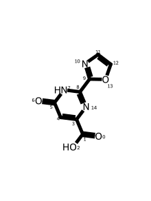 O=C(O)c1cc(=O)[nH]c(-c2ncco2)n1